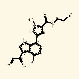 Cn1nc(-c2ncc(F)c3c(C(=O)C=O)c[nH]c23)cc1C(=O)NCCO